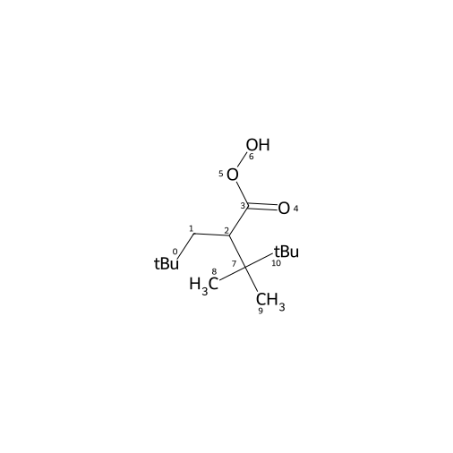 CC(C)(C)CC(C(=O)OO)C(C)(C)C(C)(C)C